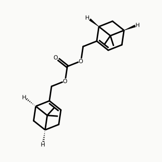 CC1(C)[C@H]2CC=C(COC(=O)OCC3=CC[C@H]4C[C@@H]3C4(C)C)[C@@H]1C2